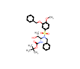 COc1ccc(S(=O)(=O)N(Cc2ccccc2)[C@H](NC(=O)OC(C)(C)C)[C@@H](C)O)cc1OCc1ccccc1